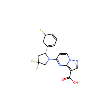 O=C(O)c1cnn2ccc(N3CC(F)(F)C[C@@H]3C3=CC=CC(F)C3)nc12